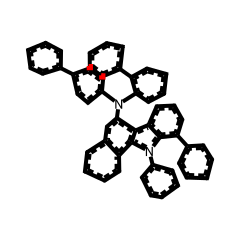 c1ccc(-c2ccc(N(c3ccccc3-c3ccccc3)c3cc4ccccc4c4c3c3cccc(-c5ccccc5)c3n4-c3ccccc3)cc2)cc1